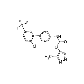 Cc1nnsc1OC(=O)Nc1ccc(-c2cc(C(F)(F)F)ccc2Cl)cc1